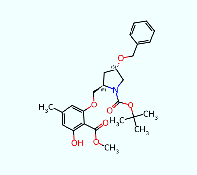 COC(=O)c1c(O)cc(C)cc1OC[C@H]1C[C@H](OCc2ccccc2)CN1C(=O)OC(C)(C)C